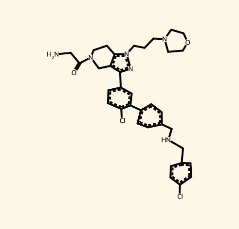 NCC(=O)N1CCc2c(c(-c3ccc(Cl)c(-c4ccc(CNCc5ccc(Cl)cc5)cc4)c3)nn2CCCN2CCOCC2)C1